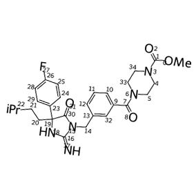 COC(=O)N1CCN(C(=O)c2cccc(CN3C(=N)NC(CCC(C)C)(c4ccc(F)cc4)C3=O)c2)CC1